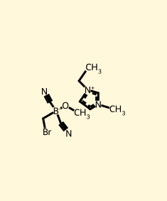 CC[n+]1ccn(C)c1.CO[B-](C#N)(C#N)CBr